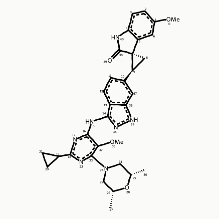 COc1ccc2c(c1)[C@]1(C[C@H]1c1ccc3c(Nc4nc(C5CC5)nc(N5C[C@@H](C)O[C@@H](C)C5)c4OC)n[nH]c3c1)C(=O)N2